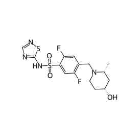 C[C@@H]1C[C@H](O)CCN1Cc1cc(F)c(S(=O)(=O)Nc2ncns2)cc1F